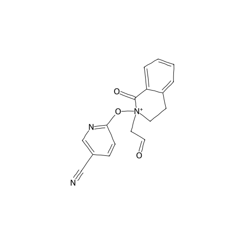 N#Cc1ccc(O[N+]2(CC=O)CCc3ccccc3C2=O)nc1